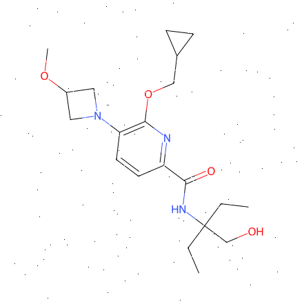 CCC(CC)(CO)NC(=O)c1ccc(N2CC(OC)C2)c(OCC2CC2)n1